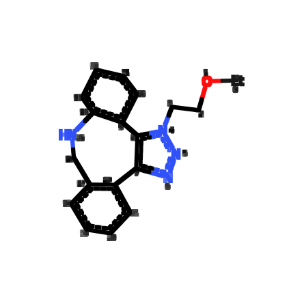 CCOCCn1nnc2c1-c1ccccc1NCc1ccccc1-2